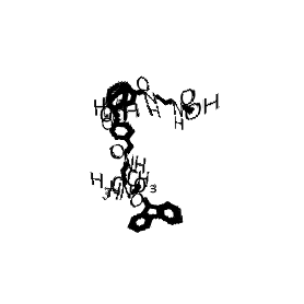 CC(C)(CNC(=O)CC1CCC2(CC1)OOC1(O2)[C@@H]2CC3C[C@H]1CC(C(=O)NCCCNC(=O)O)(C3)C2)NC(=O)OCC1c2ccccc2-c2ccccc21